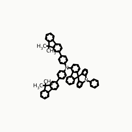 CC1(C)c2ccccc2-c2ccc(-c3ccc(N(c4ccc(-c5ccc6c(c5)C(C)(C)c5ccccc5-6)cc4)c4cccc5c4-c4ccccc4C54c5ccccc5N(c5ccccc5)c5ccccc54)cc3)cc21